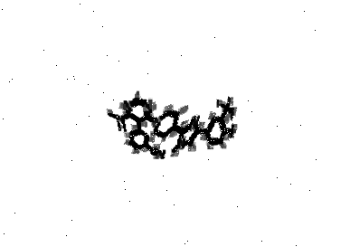 CNc1ncnc(N2CCC(c3nc(-c4ccc(F)c(C(F)(F)F)c4)cn3C)CC2)c1-c1cccc(C#N)c1